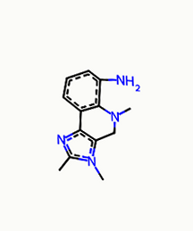 Cc1nc2c(n1C)CN(C)c1c(N)cccc1-2